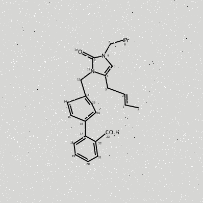 CC=CCc1cn(CC(C)C)c(=O)n1Cc1ccc(-c2ccccc2C(=O)O)cc1